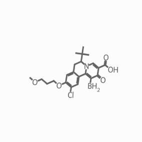 Bc1c2n(cc(C(=O)O)c1=O)C(C(C)(C)C)Cc1cc(OCCCOC)c(Cl)cc1-2